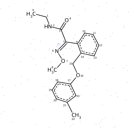 CCNC(=O)/C(=N/OC)c1ccccc1COc1cccc(C)c1